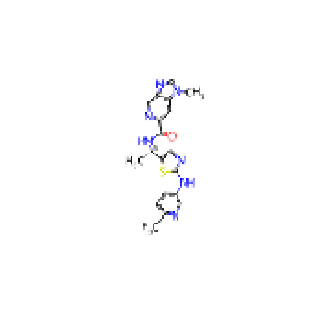 C[C@H](NC(=O)c1cc2c(cn1)ncn2C)c1cnc(Nc2ccc(C(F)(F)F)nc2)s1